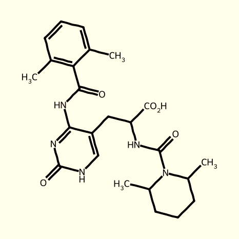 Cc1cccc(C)c1C(=O)Nc1nc(=O)[nH]cc1CC(NC(=O)N1C(C)CCCC1C)C(=O)O